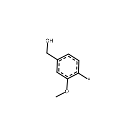 COc1cc(CO)ccc1F